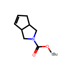 CC(C)(C)OC(=O)N1CC2C=CCC2C1